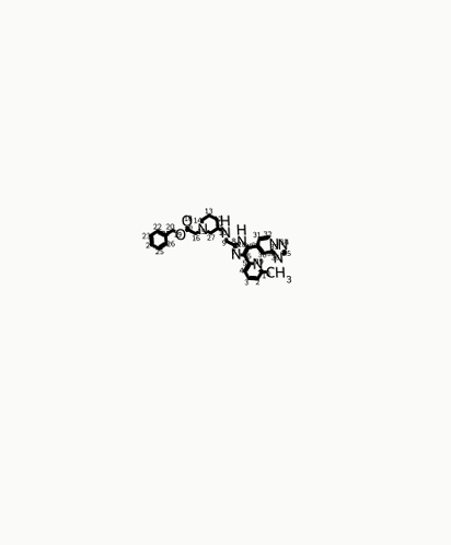 Cc1cccc(-c2nc(CNC3CCCN(CC(=O)OCc4ccccc4)C3)[nH]c2-c2ccn3ncnc3c2)n1